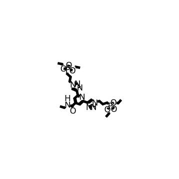 CCNC(=O)c1cc(-c2cn(CCCP(=O)(OCC)OCC)nn2)nc(-c2cn(CCCP(=O)(OCC)OCC)nn2)c1